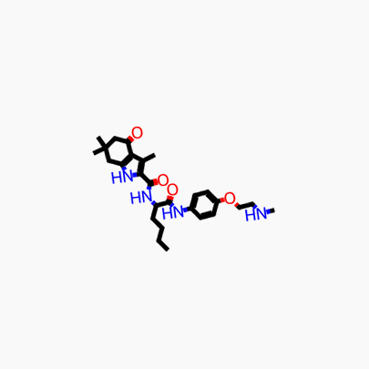 CCCCC(NC(=O)c1[nH]c2c(c1C)C(=O)CC(C)(C)C2)C(=O)Nc1ccc(OCCNC)cc1